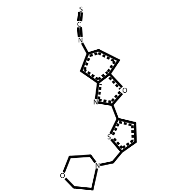 S=C=Nc1ccc2oc(-c3ccc(CN4CCOCC4)s3)nc2c1